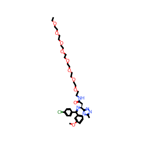 CCOCCOCCOCCOCCOCCOCCOCCOCCNC(=O)C[C@@H]1N=C(c2ccc(Cl)cc2)c2cc(OC)ccc2-n2c(C)nnc21